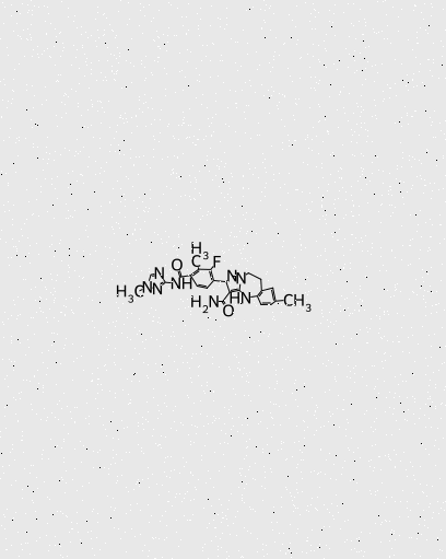 Cc1ccc2c(c1)CCn1nc(-c3ccc(C(=O)Nc4ncn(C)n4)c(C)c3F)c(C(N)=O)c1N2